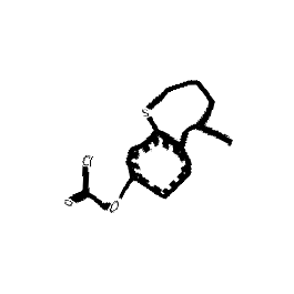 CC1CCCSc2cc(OC(=O)Cl)ccc21